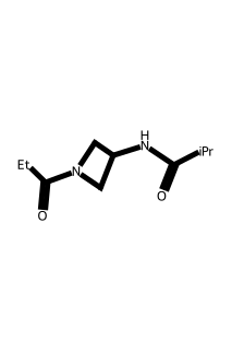 CCC(=O)N1CC(NC(=O)C(C)C)C1